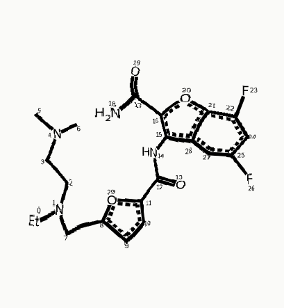 CCN(CCN(C)C)Cc1ccc(C(=O)Nc2c(C(N)=O)oc3c(F)cc(F)cc23)o1